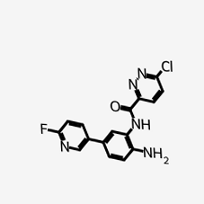 Nc1ccc(-c2ccc(F)nc2)cc1NC(=O)c1ccc(Cl)nn1